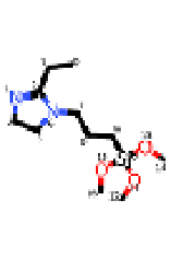 CCC1=NCCN1CCC[Si](OC)(OC)OC